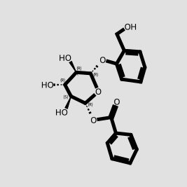 O=C(O[C@H]1O[C@@H](Oc2ccccc2CO)[C@H](O)[C@@H](O)[C@@H]1O)c1ccccc1